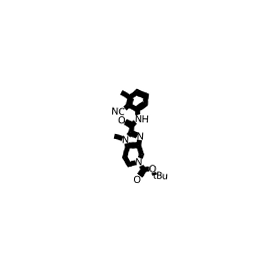 Cc1cccc(NC(=O)c2nc3c(n2C)CCN(C(=O)OC(C)(C)C)C3)c1C#N